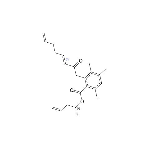 C=CCC/C=C/C(=O)Cc1c(C)c(C)cc(C)c1C(=O)O[C@H](C)CC=C